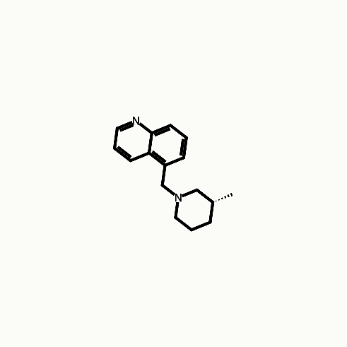 C[C@@H]1CCCN(Cc2cccc3ncccc23)C1